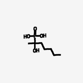 CCCCCC(C)(O)P(=O)(O)O